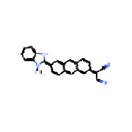 CN1/C(=c2\ccc3cc4c/c(=C(/C#N)C=N)ccc4cc3c2)Nc2ccccc21